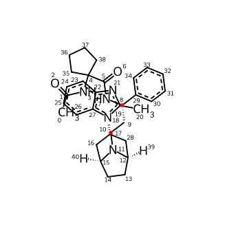 CC(=O)NC1(C(=O)N[C@@H](CCN2[C@@H]3CC[C@H]2C[C@H](n2c(C)nc4ccccc42)C3)c2ccccc2)CCCC1